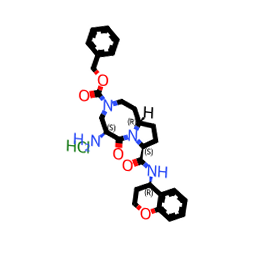 Cl.N[C@H]1CN(C(=O)OCc2ccccc2)CC[C@H]2CC[C@@H](C(=O)N[C@@H]3CCOc4ccccc43)N2C1=O